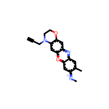 C#CCN1CCOc2cc3nc4cc(C)/c(=N\C)cc-4oc3cc21